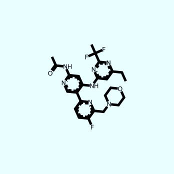 CCc1cc(Nc2cc(NC(C)=O)ncc2-c2ccc(F)c(CN3CCOCC3)n2)nc(C(C)(F)F)n1